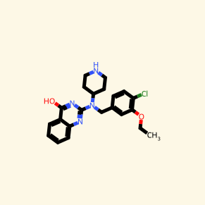 CCOc1cc(CN(c2nc(O)c3ccccc3n2)C2CCNCC2)ccc1Cl